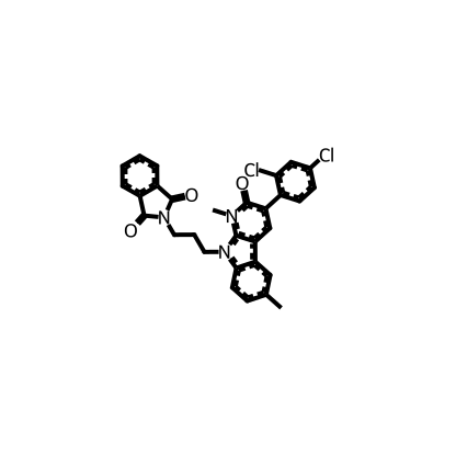 Cc1ccc2c(c1)c1cc(-c3ccc(Cl)cc3Cl)c(=O)n(C)c1n2CCCN1C(=O)c2ccccc2C1=O